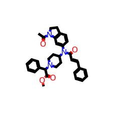 COC(=O)C(c1ccccc1)N1CCC(N(C(=O)C=Cc2ccccc2)c2ccc3c(c2)N(C(C)=O)CC3)CC1